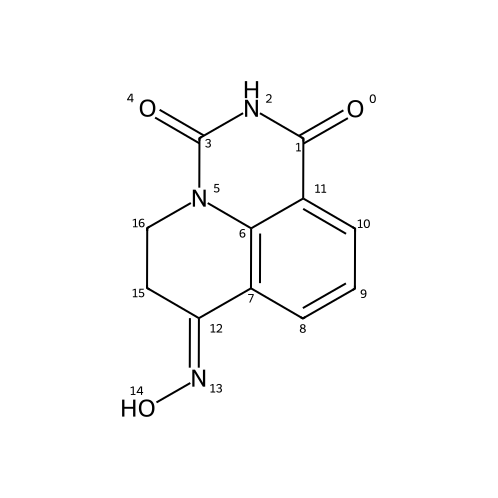 O=c1[nH]c(=O)n2c3c(cccc13)C(=NO)CC2